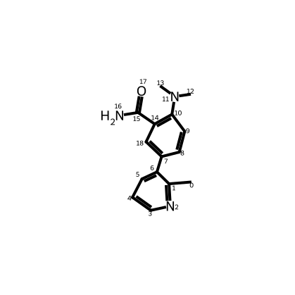 Cc1ncccc1-c1ccc(N(C)C)c(C(N)=O)c1